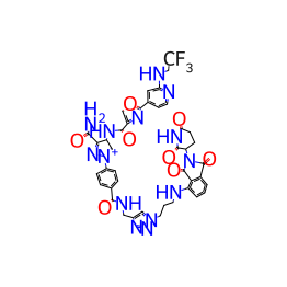 NC(=O)C1=N[N+](c2ccc(C(=O)NCc3cn(CCCNc4cccc5c4C(=O)N(C4CCC(=O)NC4=O)C5=O)nn3)cc2)=CC1NC(=O)c1coc(-c2ccnc(NCC(F)(F)F)c2)n1